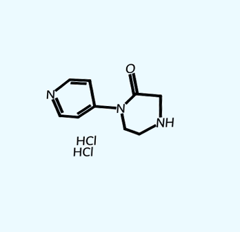 Cl.Cl.O=C1CNCCN1c1ccncc1